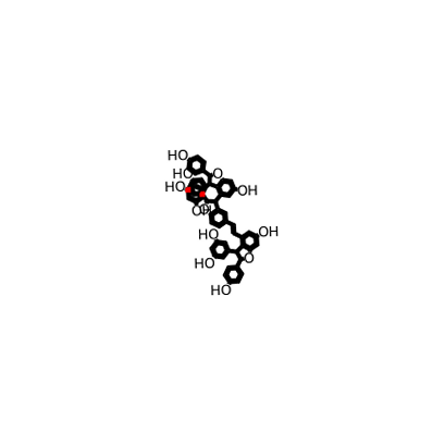 Oc1ccc(C2Oc3ccc(C=Cc4cc(O)cc5c4C(c4cc(O)cc(O)c4)C(c4ccc(O)cc4)O5)cc3C2c2cc(O)cc3c2C(c2cc(O)cc(O)c2)C(c2ccc(O)cc2)O3)cc1